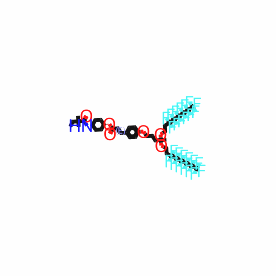 CCC(C)(C)C(=O)N[C@H]1CC[C@H](OC(=O)/C=C/c2ccc(OCCCC(C)(OCCC(F)(F)C(F)(F)C(F)(F)C(F)(F)C(F)(F)C(F)(F)F)OCCC(F)(F)C(F)(F)C(F)(F)C(F)(F)C(F)(F)C(F)(F)F)cc2)CC1